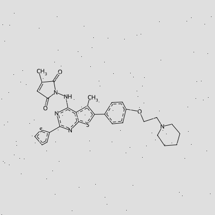 CC1=CC(=O)N(Nc2nc(-c3cccs3)nc3sc(-c4ccc(OCCN5CCCCC5)cc4)c(C)c23)C1=O